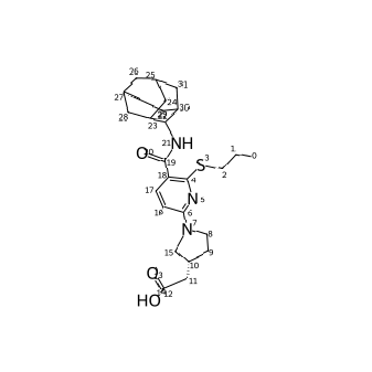 CCCSc1nc(N2CC[C@H](CC(=O)O)C2)ccc1C(=O)NC1C2CC3CC(C2)CC1C3